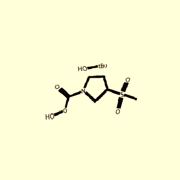 CC(C)(C)O.CS(=O)(=O)C1CCN(C(=O)OO)C1